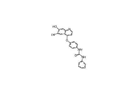 [C-]#[N+]c1cc2c(Oc3ccc(NC(=O)Nc4ccccc4)cc3)ccnc2cc1O